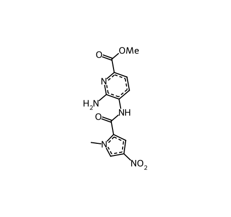 COC(=O)c1ccc(NC(=O)c2cc([N+](=O)[O-])cn2C)c(N)n1